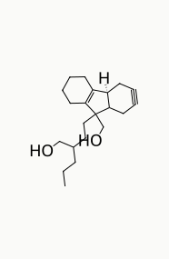 CCCC(CO)CCC1(CO)C2=C(CCCC2)[C@H]2CC#CCC21